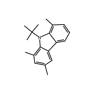 Cc1cc(C)c2c(c1)c1cccc(C)c1n2C(C)(C)C